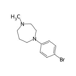 CN1CCCN(c2ccc(Br)cc2)CC1